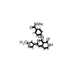 CNC(=O)c1ccc(Nc2nc(C3C=NN(C)C3)cc3cc[nH]c(=O)c23)cc1